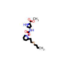 C=CCCSCCC1CCCCN1OC(=O)N[C@H]1CN[C@H](C(=O)OC)C1